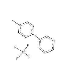 Cc1ccc(-[n+]2ccccc2)cc1.F[B-](F)(F)F